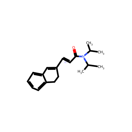 CC(C)N(C(=O)/C=C/C1=Cc2ccccc2CC1)C(C)C